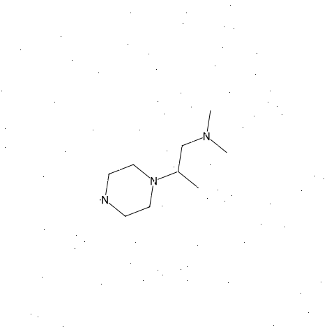 CC(CN(C)C)N1CC[N]CC1